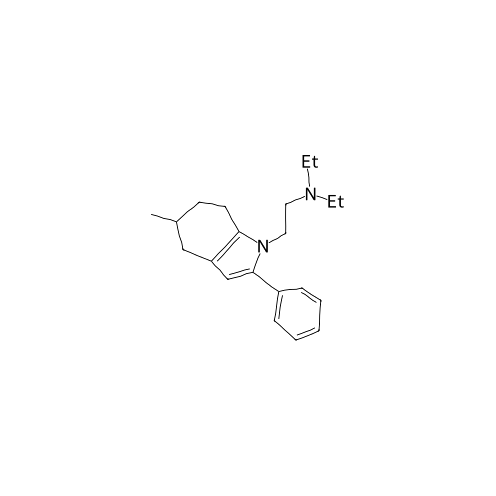 CCN(CC)CCn1c(-c2ccccc2)cc2c1CCC(C)C2